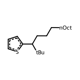 CCCCCCCCCCCC(c1cccs1)C(C)(C)C